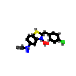 O=CNc1ccc2c(c1)N(O)C(Cc1ccc(Cl)cc1)S2